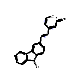 C=C/C=C(\C=C/C)/C=C/c1ccc2c(c1)c1ccccc1n2CC